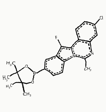 Cc1nc2cc(Cl)ccc2c2c(F)c3cc(B4OC(C)(C)C(C)(C)O4)ccc3n12